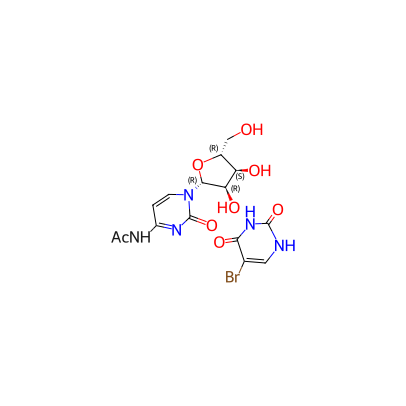 CC(=O)Nc1ccn([C@@H]2O[C@H](CO)[C@@H](O)[C@H]2O)c(=O)n1.O=c1[nH]cc(Br)c(=O)[nH]1